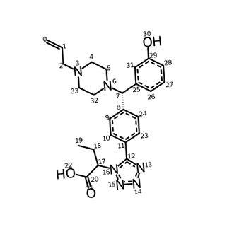 C=CCN1CCN([C@@H](c2ccc(-c3nnnn3C(CC)C(=O)O)cc2)c2cccc(O)c2)CC1